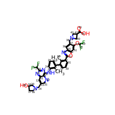 Cc1c(Nc2nc(C(F)F)nc3cc(CN4CCC(O)C4)cnc23)cccc1-c1cccc(-c2nc3cc(CN4CC(C(=O)O)C4)c(OC(F)F)cc3o2)c1C